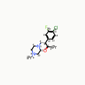 CC(C)C(=O)[C@H](CN1CCN(C(C)C)CC1)c1ccc(Cl)c(F)c1